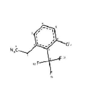 CCc1cc[c]c(Cl)c1C(F)(F)F